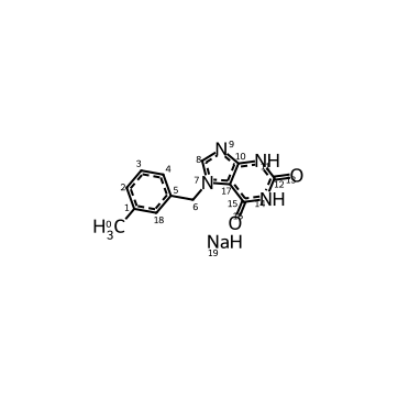 Cc1cccc(Cn2cnc3[nH]c(=O)[nH]c(=O)c32)c1.[NaH]